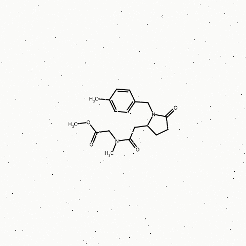 COC(=O)CN(C)C(=O)CC1CCC(=O)N1Cc1ccc(C)cc1